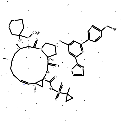 CC(C)Oc1ccc(-c2cc(O[C@@H]3C[C@H]4C(=O)N[C@]5(C(=O)NS(=O)(=O)C6(C)CC6)C[C@H]5/C=C\CC[C@H](C)C[C@@H](C)[C@H](N(C(=O)O)C5(C(F)(F)F)CCCOC5)C(=O)N4C3)cc(-c3nccs3)n2)cc1